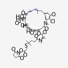 COc1cc2cc(c1Cl)N(C)C(=O)C[C@H](OC(=O)[C@H](C)N(C)C(=O)CCC(C)(C)SCC(=O)ON1C(=O)CCC1=O)[C@@]1(C)O[C@H]1[C@H](C)[C@@H]1C[C@@](O)(NC(=O)O1)[C@H](OC)/C=C/C=C(\C)C2